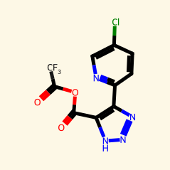 O=C(OC(=O)C(F)(F)F)c1[nH]nnc1-c1ccc(Cl)cn1